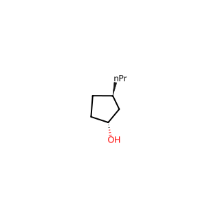 CCC[C@@H]1CC[C@@H](O)C1